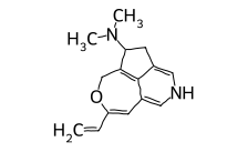 C=CC1=CC2=CNC=C3CC(N(C)C)C(=C23)CO1